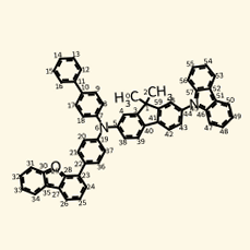 CC1(C)c2cc(N(c3ccc(-c4ccccc4)cc3)c3ccc(-c4cccc5c4oc4ccccc45)cc3)ccc2-c2ccc(-n3c4ccccc4c4ccccc43)cc21